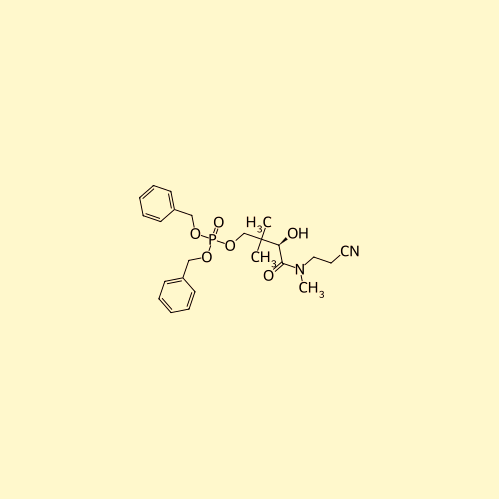 CN(CCC#N)C(=O)[C@H](O)C(C)(C)COP(=O)(OCc1ccccc1)OCc1ccccc1